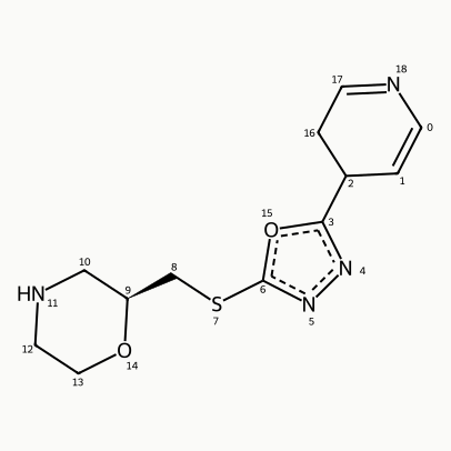 C1=CC(c2nnc(SC[C@@H]3CNCCO3)o2)CC=N1